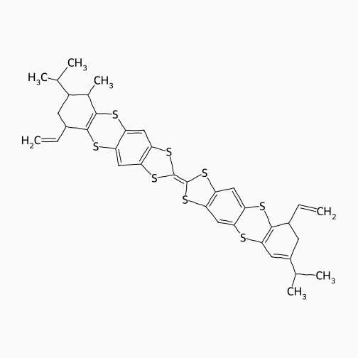 C=CC1CC(C(C)C)=CC2=C1Sc1cc3c(cc1S2)S/C(=C1\Sc2cc4c(cc2S1)SC1=C(S4)C(C=C)CC(C(C)C)C1C)S3